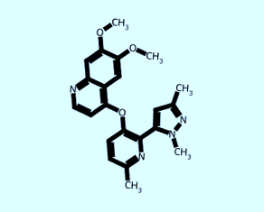 COc1cc2nccc(Oc3ccc(C)nc3-c3cc(C)nn3C)c2cc1OC